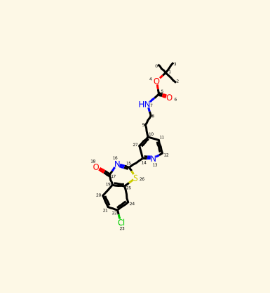 CC(C)(C)OC(=O)NCCc1ccnc(-c2nc(=O)c3ccc(Cl)cc3s2)c1